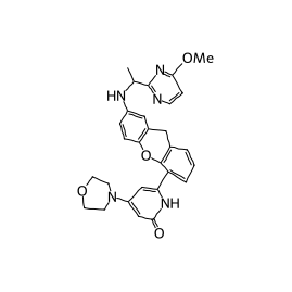 COc1ccnc(C(C)Nc2ccc3c(c2)Cc2cccc(-c4cc(N5CCOCC5)cc(=O)[nH]4)c2O3)n1